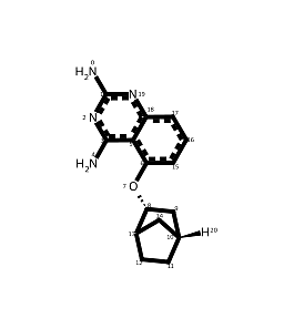 Nc1nc(N)c2c(O[C@@H]3C[C@@H]4CCC3C4)cccc2n1